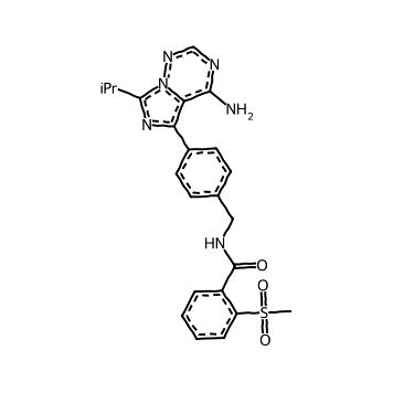 CC(C)c1nc(-c2ccc(CNC(=O)c3ccccc3S(C)(=O)=O)cc2)c2c(N)ncnn12